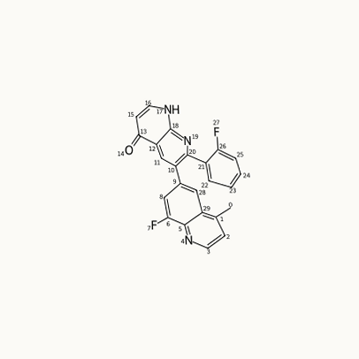 Cc1ccnc2c(F)cc(-c3cc4c(=O)cc[nH]c4nc3-c3ccccc3F)cc12